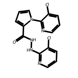 O=C(NNc1ncccc1Cl)c1cccn1-c1ncccc1Cl